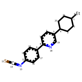 CCC1CCC(c2ccc(-c3ccc(N=C=S)cc3)nc2)CC1